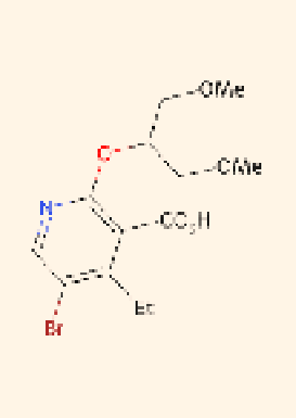 CCc1c(Br)cnc(OC(COC)COC)c1C(=O)O